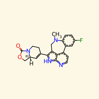 CN1Cc2c(C3=C[C@@H]4COC(=O)N4CC3)[nH]c3nccc(c23)-c2cc(F)ccc21